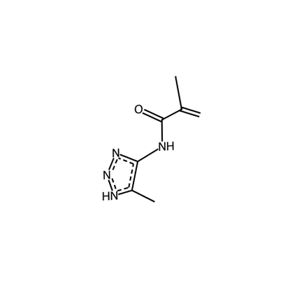 C=C(C)C(=O)Nc1nn[nH]c1C